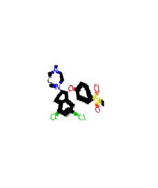 CN1CCCN([C@H]2Cc3c(Cl)cc(Cl)cc3[C@H]2Oc2ccc(S(C)(=O)=O)cc2)CC1